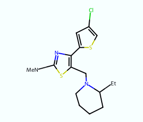 CCC1CCCCN1Cc1sc(NC)nc1-c1cc(Cl)cs1